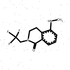 CNc1cccc2c1CCN(CC(F)(F)F)C2=O